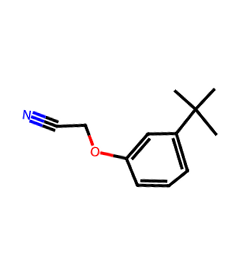 CC(C)(C)c1cccc(OCC#N)c1